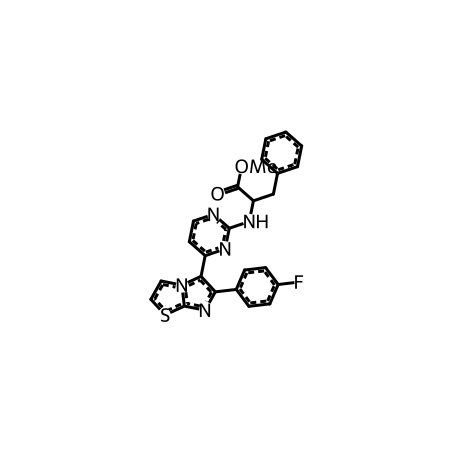 COC(=O)C(Cc1ccccc1)Nc1nccc(-c2c(-c3ccc(F)cc3)nc3sccn23)n1